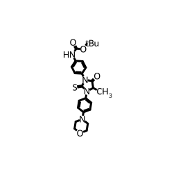 CC1C(=O)N(c2ccc(NC(=O)OC(C)(C)C)cc2)C(=S)N1c1ccc(N2CCOCC2)cc1